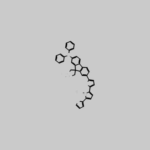 CCC1(CC)c2cc(-c3ccc(-c4ccc(-c5cccs5)n4C)s3)ccc2-c2ccc(N(c3ccccc3)c3ccccc3)cc21